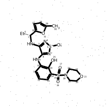 CC[C@@H](Nc1n[s+]([O-])nc1Nc1cccc(S(=O)(=O)N2CCOCC2)c1O)c1ccc(C)o1